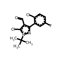 CC(C)(C)n1nc(-c2cc(F)ccc2Cl)c(C=O)c1Cl